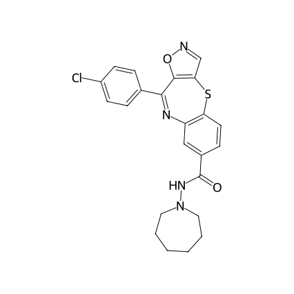 O=C(NN1CCCCCC1)c1ccc2c(c1)N=C(c1ccc(Cl)cc1)c1oncc1S2